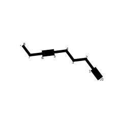 [C]#CCCCC#CC[CH2]